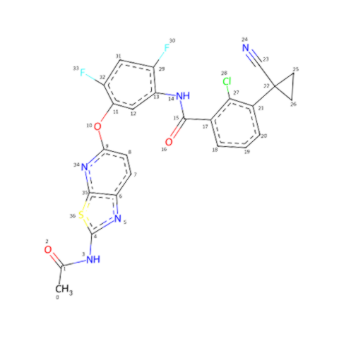 CC(=O)Nc1nc2ccc(Oc3cc(NC(=O)c4cccc(C5(C#N)CC5)c4Cl)c(F)cc3F)nc2s1